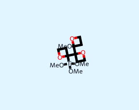 COC1(C2([C]3([Ti]([O]C)([O]C)[O]C)CCO3)CCO2)CCO1